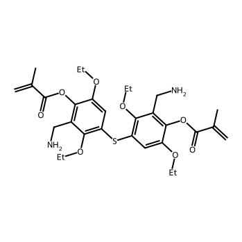 C=C(C)C(=O)Oc1c(OCC)cc(Sc2cc(OCC)c(OC(=O)C(=C)C)c(CN)c2OCC)c(OCC)c1CN